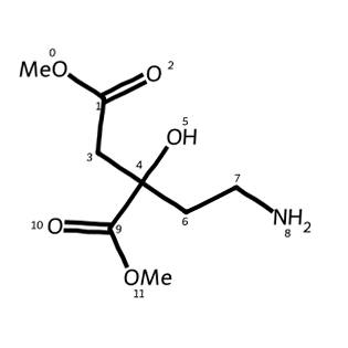 COC(=O)CC(O)(CCN)C(=O)OC